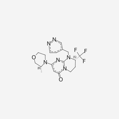 C[C@@H]1COCCN1c1cc(=O)n2c(n1)N(Cc1ccnnc1)[C@H](C(F)(F)F)CC2